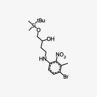 Cc1c(Br)ccc(NCCC(O)CO[Si](C)(C)C(C)(C)C)c1[N+](=O)[O-]